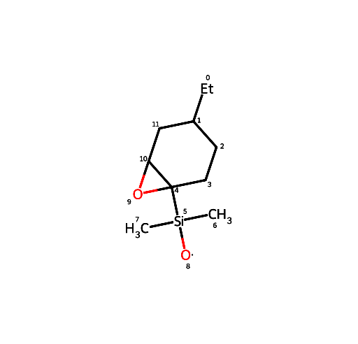 CCC1CCC2([Si](C)(C)[O])OC2C1